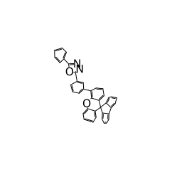 c1ccc(-c2nnc(-c3cccc(-c4cccc5c4Oc4ccccc4C54c5ccccc5-c5ccccc54)c3)o2)cc1